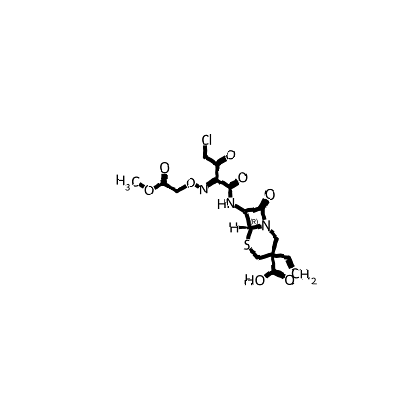 C=CC1(C(=O)O)CS[C@@H]2C(NC(=O)C(=NOCC(=O)OC)C(=O)CCl)C(=O)N2C1